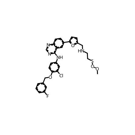 COOSCCNCc1ccc(-c2ccc3ncnc(Nc4ccc(OCc5cccc(F)c5)c(Cl)c4)c3c2)o1